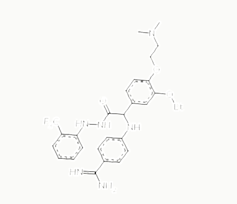 CCOc1cc(C(Nc2ccc(C(=N)N)cc2)C(=O)NNc2ccccc2C(F)(F)F)ccc1OCCN(C)C